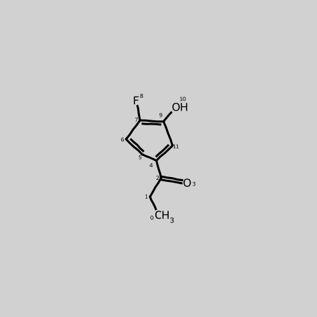 CCC(=O)c1ccc(F)c(O)c1